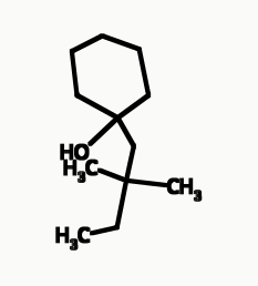 CCC(C)(C)CC1(O)CCCCC1